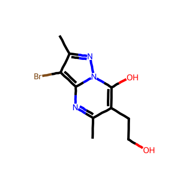 Cc1nc2c(Br)c(C)nn2c(O)c1CCO